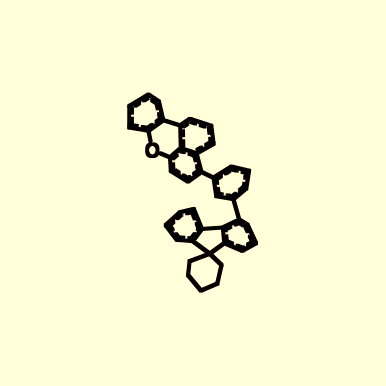 c1cc(-c2cccc3c2-c2ccccc2C32CCCCC2)cc(-c2ccc3c4c(cccc24)-c2ccccc2O3)c1